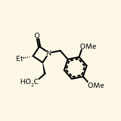 CC[C@@H]1C(=O)N(Cc2ccc(OC)cc2OC)[C@H]1CC(=O)O